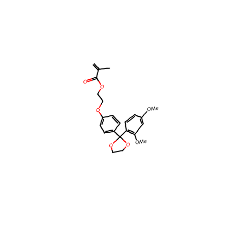 C=C(C)C(=O)OCCOc1ccc(C2(c3ccc(OC)cc3OC)OCCO2)cc1